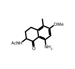 COc1cc(N)c2c(c1C)CCC(NC(C)=O)C2=O